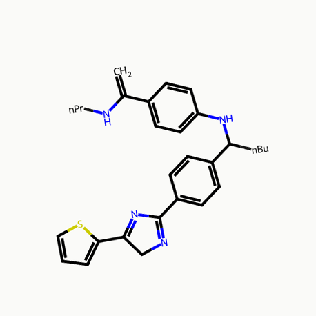 C=C(NCCC)c1ccc(NC(CCCC)c2ccc(C3=NCC(c4cccs4)=N3)cc2)cc1